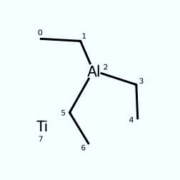 C[CH2][Al]([CH2]C)[CH2]C.[Ti]